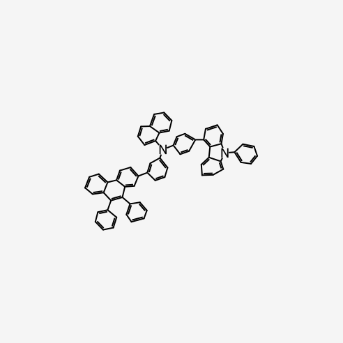 c1ccc(-c2c(-c3ccccc3)c3cc(-c4cccc(N(c5ccc(-c6cccc7c6c6ccccc6n7-c6ccccc6)cc5)c5cccc6ccccc56)c4)ccc3c3ccccc23)cc1